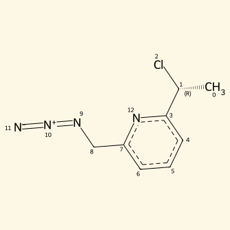 C[C@@H](Cl)c1cccc(CN=[N+]=[N-])n1